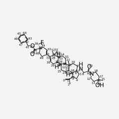 C=C(C)[C@@H]1CC[C@]2(NCC(=O)N3CCC(C)(O)CC3)CC[C@]3(C)C(CC[C@@H]4[C@@]5(C)CC=C(C6=CC[C@](CF)(C(=O)OCc7ccccc7)CC6)C(C)(C)[C@@H]5CC[C@]43C)[C@@H]12